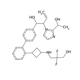 C=CC(C(O)c1ccc(-c2ccccc2C2CC(NCC(F)(F)CO)C2)cc1)n1ccnc1C(C)O